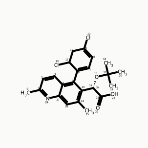 Cc1ccc2c(C3=CC=C(Cl)CC3Cl)c([C@H](OC(C)(C)C)C(=O)O)c(C)cc2n1